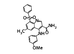 COc1cccc(Nc2c(C(N)=O)cnc3c(S(=O)(=O)c4ccccc4)cc(C)cc23)c1